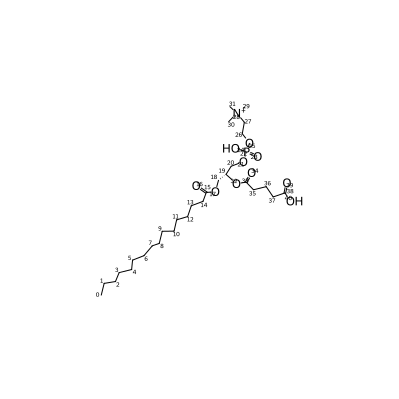 CCCCCCCCCCCCCCCC(=O)OC[C@H](COP(=O)(O)OCC[N+](C)(C)C)OC(=O)CCCC(=O)O